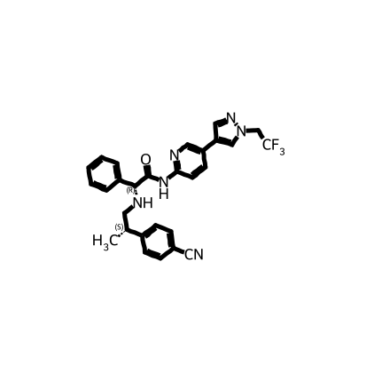 C[C@H](CN[C@@H](C(=O)Nc1ccc(-c2cnn(CC(F)(F)F)c2)cn1)c1ccccc1)c1ccc(C#N)cc1